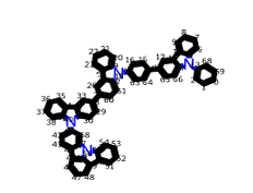 c1ccc(-n2c3ccccc3c3cc(-c4ccc(-n5c6ccccc6c6cc(-c7ccc8c(c7)c7ccccc7n8-c7ccc8c9cccc%10c%11ccccc%11n(c8c7)c%109)ccc65)cc4)ccc32)cc1